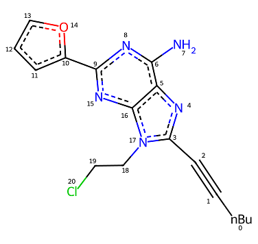 CCCCC#Cc1nc2c(N)nc(-c3ccco3)nc2n1CCCl